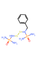 NP(N)(=O)NSSN(Cc1ccccc1)P(N)(N)=O